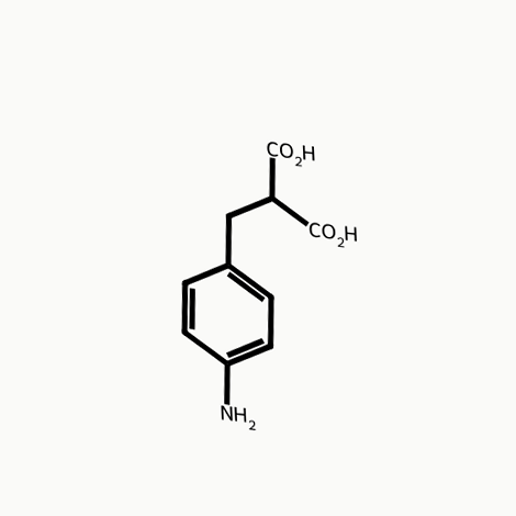 Nc1ccc(CC(C(=O)O)C(=O)O)cc1